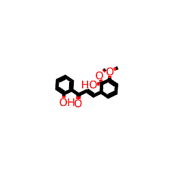 COC1=CC=CC(/C=C/C(=O)c2ccccc2O)C1(O)OC